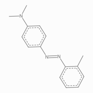 Cc1ccccc1N=Nc1ccc(N(C)C)cc1